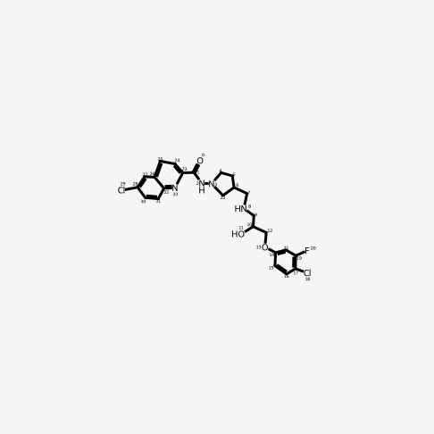 O=C(NN1CCC(CNCC(O)COc2ccc(Cl)c(F)c2)C1)c1ccc2cc(Cl)ccc2n1